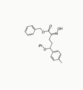 Cc1ccc(C(CCC(=NO)C(=O)OCc2ccccc2)OC(C)C)cc1